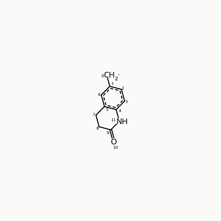 [CH2]c1ccc2c(c1)CCC(=O)N2